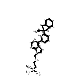 CS(C)(C)CCOCn1ccc2c(-c3cccc(C4(C#N)Cc5ccccc5C4)n3)ncnc21